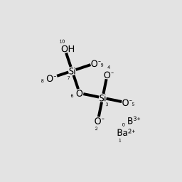 [B+3].[Ba+2].[O-][Si]([O-])([O-])O[Si]([O-])([O-])O